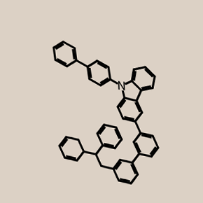 C1=CCC(C(Cc2cccc(-c3cccc(-c4ccc5c(c4)c4ccccc4n5-c4ccc(-c5ccccc5)cc4)c3)c2)c2ccccc2)C=C1